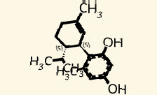 CC1=C[C@@H](c2c(C)cc(O)cc2O)[C@H](C(C)C)CC1